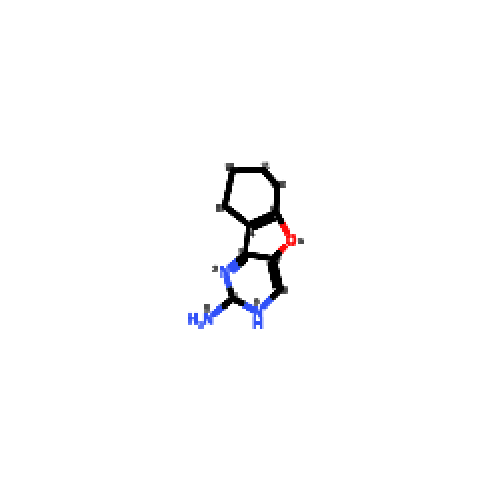 NC1N=c2c3c(oc2=CN1)CCCC3